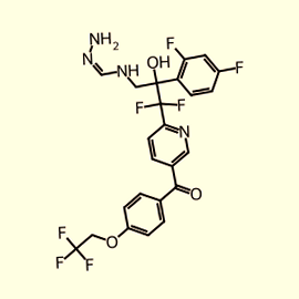 N/N=C\NCC(O)(c1ccc(F)cc1F)C(F)(F)c1ccc(C(=O)c2ccc(OCC(F)(F)F)cc2)cn1